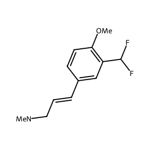 CNCC=Cc1ccc(OC)c(C(F)F)c1